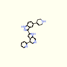 C1=C(c2ccc3[nH]nc(-c4cc5c(-c6ccccn6)cncc5[nH]4)c3c2)CCNC1